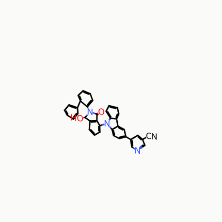 N#Cc1cncc(-c2ccc3c(c2)c2ccccc2n3-c2cccc3c2C(=O)N(c2ccccc2-c2ccccc2)C3O)c1